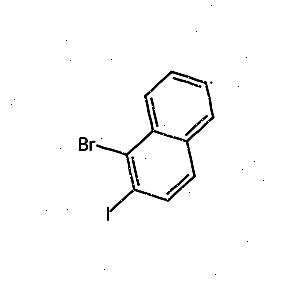 Brc1c(I)ccc2c[c]ccc12